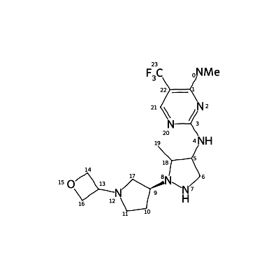 CNc1nc(NC2CNN([C@H]3CCN(C4COC4)C3)C2C)ncc1C(F)(F)F